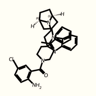 Cc1nc2ccccc2n1C1C[C@H]2CC[C@@H](C1)N2CCC1(c2ccccc2)CCN(C(=O)c2cc(Cl)ccc2N)CC1